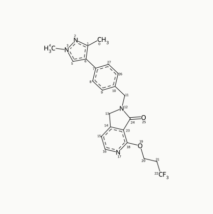 Cc1nn(C)cc1-c1ccc(CN2Cc3ccnc(OCCC(F)(F)F)c3C2=O)cc1